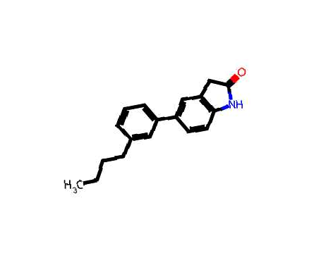 CCCCc1cccc(-c2ccc3c(c2)CC(=O)N3)c1